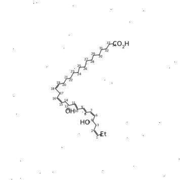 CC/C=C\C[C@H](O)\C=C/C=C/C=C/[C@H](O)C/C=C\C/C=C\CCCCCCCCCCCCCCC(=O)O